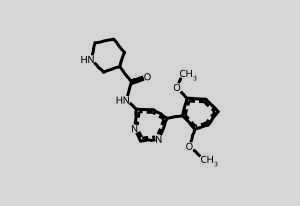 COc1cccc(OC)c1-c1cc(NC(=O)C2CCCNC2)ncn1